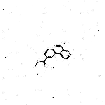 COC(=O)c1cccc(-c2ccccc2[N+](=O)[O-])c1